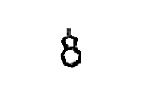 C1=CC=C2CNC=C2C=C1